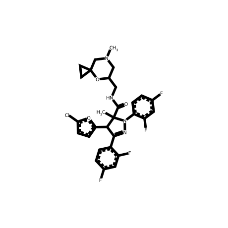 CN1CC(CNC(=O)C2(C)C(c3ccc(Cl)o3)C(c3ccc(F)cc3F)=NN2c2ccc(F)cc2F)OC2(CC2)C1